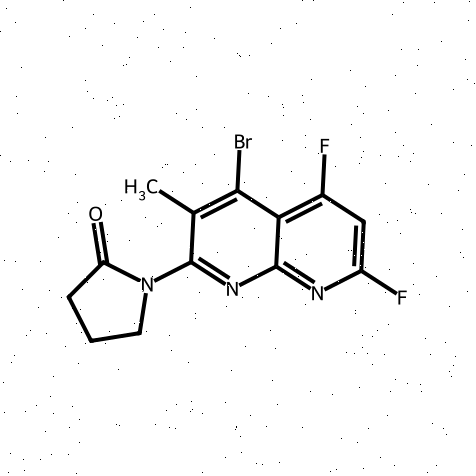 Cc1c(N2CCCC2=O)nc2nc(F)cc(F)c2c1Br